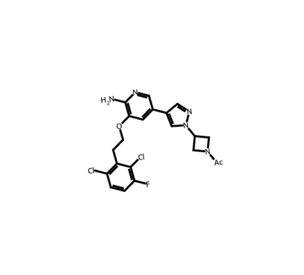 CC(=O)N1CC(n2cc(-c3cnc(N)c(OCCc4c(Cl)ccc(F)c4Cl)c3)cn2)C1